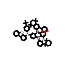 Cc1cc2c3c(c1)N1c4c(cccc4C4(C)CCCCC14C)B3c1ccc(N(c3ccc(C(C)(C)C)cc3)c3cccc4c3oc3ccccc34)cc1N2c1cc2c(cc1-c1ccccc1)C(C)(C)CCC2(C)C